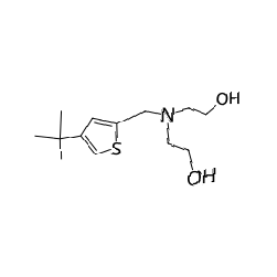 CC(C)(C)c1csc(CN(CCO)CCO)c1